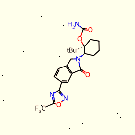 CC(C)(C)[C@]1(OC(N)=O)CCCC[C@H]1N1Cc2ccc(-c3noc(C(F)(F)F)n3)cc2C1=O